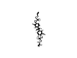 C=CCOC(=O)Oc1ccc(C(C)(C)c2ccc(OC(=O)OCC=C)c(C)c2)cc1C